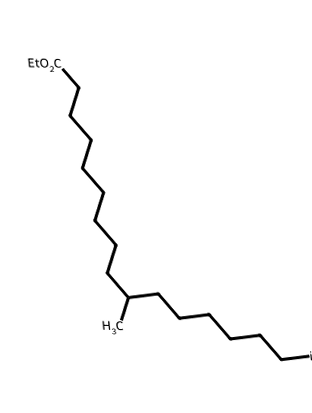 CCOC(=O)CCCCCCCCC(C)CCCCCCC(C)C